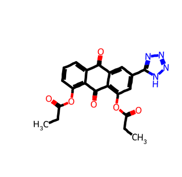 CCC(=O)Oc1cccc2c1C(=O)c1c(OC(=O)CC)cc(-c3nnn[nH]3)cc1C2=O